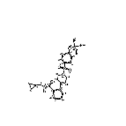 O=C(NCC1CC1)c1ncccc1C1=CCN(S(=O)(=O)c2ccc(OC(F)(F)F)cc2)CC1